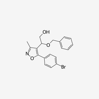 Cc1noc(-c2ccc(Br)cc2)c1C(CO)OCc1ccccc1